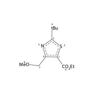 CCOC(=O)c1sc(C(C)(C)C)nc1COC